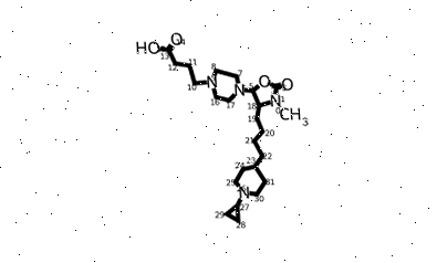 CN1C(=O)OC(N2CCN(CCCC(=O)O)CC2)C1CCCCC1CCN(C2CC2)CC1